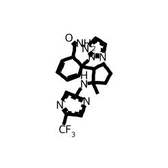 CC1(Nc2cnc(C(F)(F)F)cn2)CCCC1C1(n2nccn2)C=CC=CC1C(N)=O